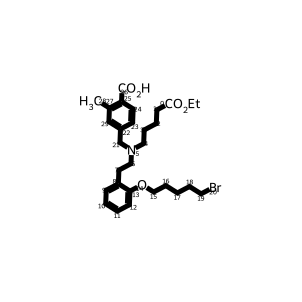 CCOC(=O)CCCCN(CCc1ccccc1OCCCCCBr)Cc1ccc(C(=O)O)c(C)c1